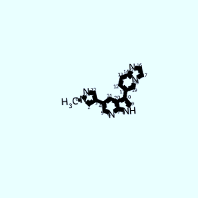 Cn1cc(-c2cnc3[nH]cc(-c4ccc5nccn5c4)c3c2)cn1